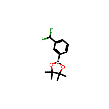 CC1(C)OB(c2cccc(C(F)F)c2)OC1(C)C